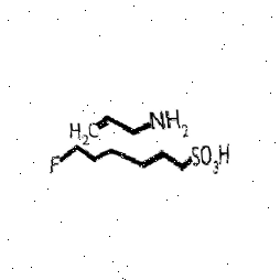 C=CCN.O=S(=O)(O)CCCCCCF